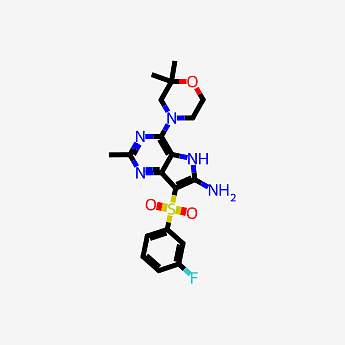 Cc1nc(N2CCOC(C)(C)C2)c2[nH]c(N)c(S(=O)(=O)c3cccc(F)c3)c2n1